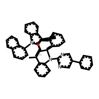 C#Cc1c(/C=C(\C)c2ccccc2N(C2=c3ccccc3=CCC2)c2ncc(-c3ccccc3)cn2)n(-c2cccc3ccccc23)c2ccccc12